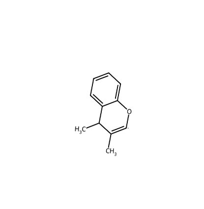 CC1=[C]Oc2ccccc2C1C